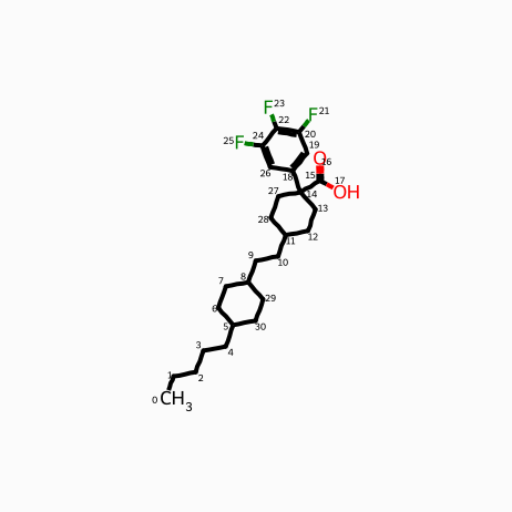 CCCCCC1CCC(CCC2CCC(C(=O)O)(c3cc(F)c(F)c(F)c3)CC2)CC1